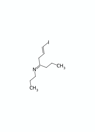 CCC/N=C(/C/C=C/I)CCC